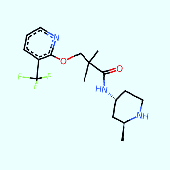 C[C@H]1C[C@H](NC(=O)C(C)(C)COc2ncccc2C(F)(F)F)CCN1